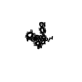 CCOc1ccccc1C1(C2CN(c3ccc(C#N)cn3)CCN2C(=O)O)C(=O)N(S(=O)(=O)c2ccccc2F)c2ccc(C#N)cc21